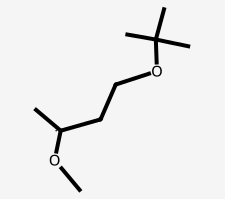 CO[C](C)CCOC(C)(C)C